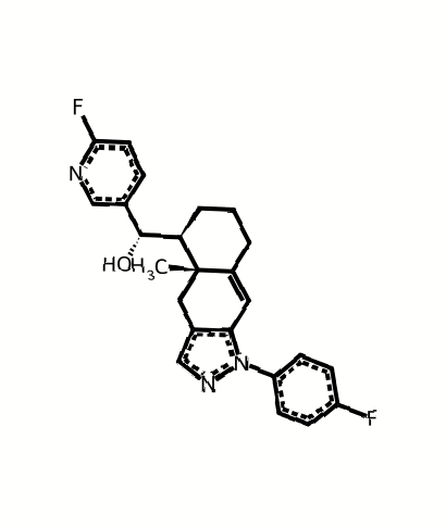 C[C@]12Cc3cnn(-c4ccc(F)cc4)c3C=C1CCC[C@@H]2[C@H](O)c1ccc(F)nc1